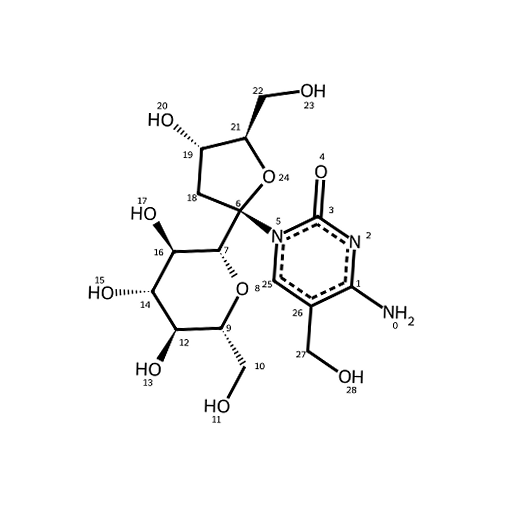 Nc1nc(=O)n([C@@]2([C@@H]3O[C@H](CO)[C@@H](O)[C@H](O)[C@H]3O)C[C@H](O)[C@@H](CO)O2)cc1CO